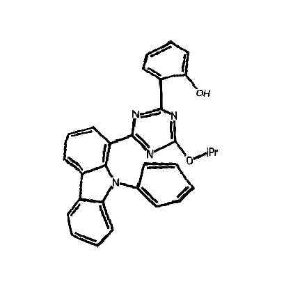 CC(C)Oc1nc(-c2ccccc2O)nc(-c2cccc3c4ccccc4n(-c4ccccc4)c23)n1